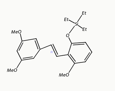 CC[Si](CC)(CC)Oc1cccc(OC)c1/C=C/c1cc(OC)cc(OC)c1